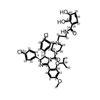 COc1ccc(C2=N[C@@H](c3ccc(Cl)cc3)[C@@H](c3ccc(Cl)cc3)N2C(=O)N2CCN(CCNC(=O)c3cccc(O)c3O)CC2)c(OC(C)C)c1